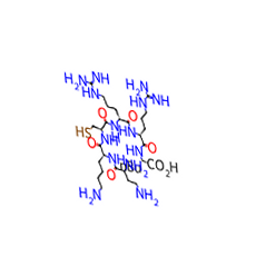 CCCC[C@H](NC(=O)[C@H](CCCNC(=N)N)NC(=O)[C@H](CCCNC(=N)N)NC(=O)[C@H](CS)NC(=O)[C@H](CCCCN)NC(=O)[C@@H](N)CCN)C(=O)O